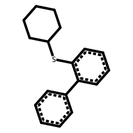 c1ccc(-c2ccccc2SC2CCCCC2)cc1